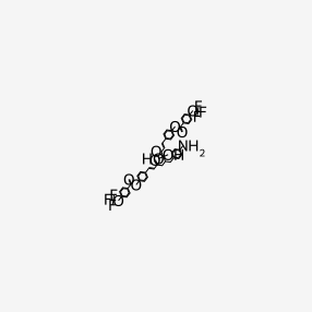 Nc1ccc(CC(CC(=O)/C=C/c2ccc(OC(=O)c3ccc(OC(F)(F)F)cc3)cc2)C(O)(O)C(=O)/C=C/c2ccc(OC(=O)c3ccc(OC(F)(F)F)cc3)cc2)cc1